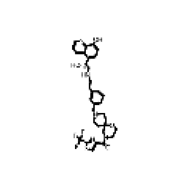 O=C(c1csc(C(F)(F)F)n1)N1CCOC2(CCN(Cc3cccc(CCNC[C@H](O)c4ccc(O)c5ncccc45)c3)CC2)C1